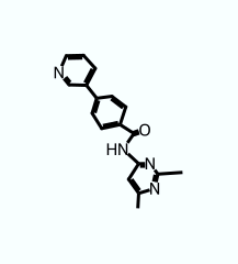 Cc1cc(NC(=O)c2ccc(-c3cccnc3)cc2)nc(C)n1